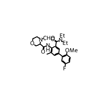 CCN(CC)C(=O)c1cc(-c2cc(F)ccc2OC)cc(C)c1NC(=O)C1COCCN1[C]=O